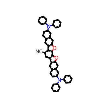 N#Cc1cc2c3cc4ccc(N(c5ccccc5)c5ccccc5)cc4cc3oc2c2oc3cc4cc(N(c5ccccc5)c5ccccc5)ccc4cc3c12